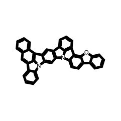 c1ccc2c(c1)cc1c3ccccc3n3c4cc5c(cc4c2c13)c1cccc2c3c4oc6ccccc6c4ccc3n5c12